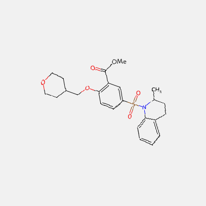 COC(=O)c1cc(S(=O)(=O)N2c3ccccc3CCC2C)ccc1OCC1CCOCC1